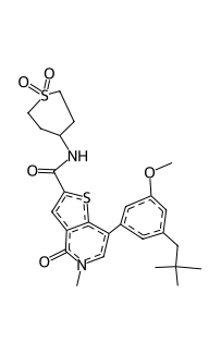 COc1cc(CC(C)(C)C)cc(-c2cn(C)c(=O)c3cc(C(=O)NC4CCS(=O)(=O)CC4)sc23)c1